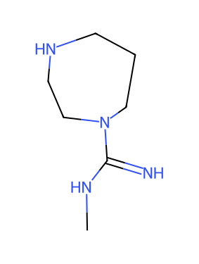 CNC(=N)N1CCCNCC1